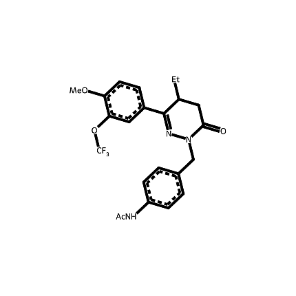 CCC1CC(=O)N(Cc2ccc(NC(C)=O)cc2)N=C1c1ccc(OC)c(OC(F)(F)F)c1